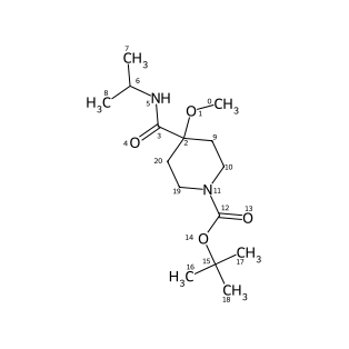 COC1(C(=O)NC(C)C)CCN(C(=O)OC(C)(C)C)CC1